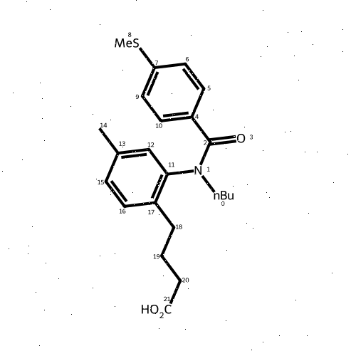 CCCCN(C(=O)c1ccc(SC)cc1)c1cc(C)ccc1CCCC(=O)O